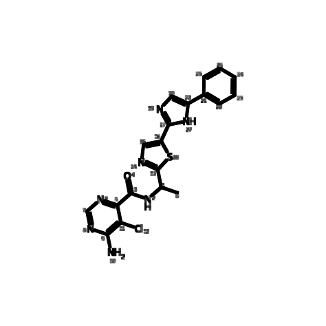 CC(NC(=O)c1ncnc(N)c1Cl)c1ncc(-c2ncc(-c3ccccc3)[nH]2)s1